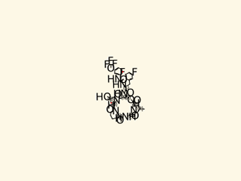 C[C@@H]1C[C@H]2C(=O)O[C@@H](C)[C@H](NC(=O)[C@H](Cc3cc(F)cc(F)c3)NC(=O)Nc3cccc(OC(F)(F)F)c3)C(=O)N3C[C@H](O)C[C@H]3C(=O)N3CCCC[C@H]3C(=O)N[C@@H](C)C(=O)N2C1